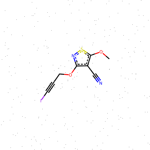 COc1snc(OCC#CI)c1C#N